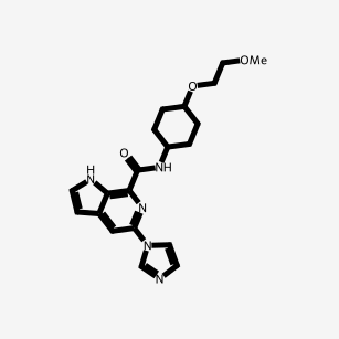 COCCOC1CCC(NC(=O)c2nc(-n3ccnc3)cc3cc[nH]c23)CC1